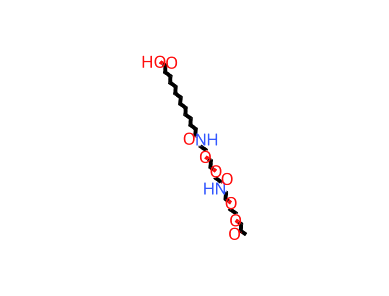 CC(=O)COCCOCCNC(=O)COCCOCCNC(=O)CCCCCCCCCCCCC(=O)O